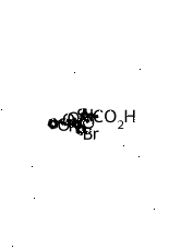 C=c1s/c(=C2\C(=O)N(CC(=O)OCc3ccccc3)c3ccc(Br)cc32)c(=O)n1CCC(=O)O